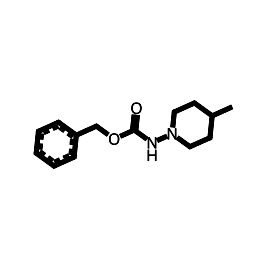 CC1CCN(NC(=O)OCc2ccccc2)CC1